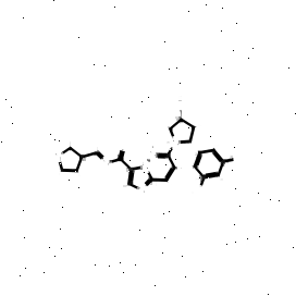 O=C(/N=C/C1CCNC1)c1cnc2ccc(N3C[C@@H](F)C[C@@H]3c3cc(F)cc(S)c3)nn12